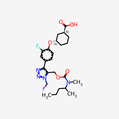 CCCC(C)N(C)C(=O)OCc1c(-c2ccc(O[C@H]3CCC[C@H](C(=O)O)C3)c(F)c2)nnn1CI